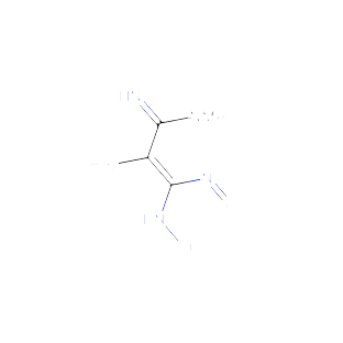 C=N/C(NCC)=C(/C)C(=N)NC